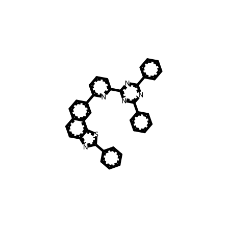 c1ccc(-c2nc(-c3ccccc3)nc(-c3cccc(-c4ccc5ccc6nc(-c7ccccc7)sc6c5c4)n3)n2)cc1